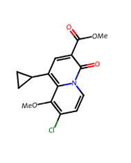 COC(=O)c1cc(C2CC2)c2c(OC)c(Cl)ccn2c1=O